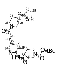 CC(C)(C)OC(=O)N1CCC2(CC1)Cc1cc(C=CC(=O)N3CC=C(Cc4cccs4)CC3)cnc1NC2=O